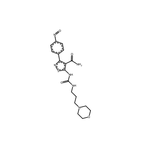 NC(=O)c1c(-c2ccc(N=O)cc2)nsc1NC(=O)NCCCN1CCOCC1